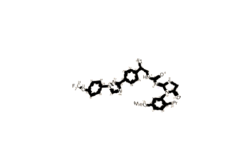 CCC(CNC(=O)/N=C1\SCC(=O)N1c1cc(OC)ccc1C(C)C)c1ccc(-c2ncn(-c3ccc(OC(F)(F)F)cc3)n2)cc1